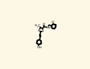 CC1N=C(C#Cc2ccc(O)cc2)SC1C(=O)NCc1ccccc1Cl